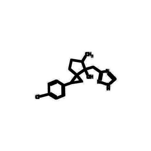 CC1CCC2(CC2c2ccc(Cl)cc2)C1(O)Cc1nc[nH]n1